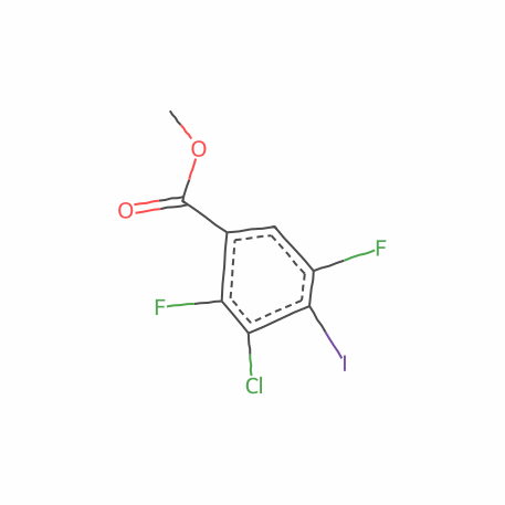 COC(=O)c1cc(F)c(I)c(Cl)c1F